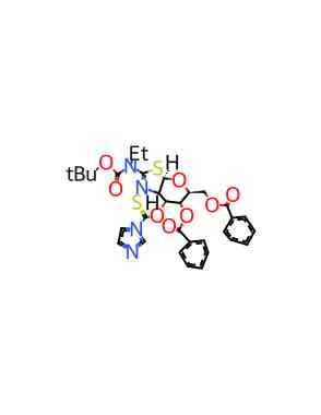 CCN(C(=O)OC(C)(C)C)C1=N[C@@H]2[C@H](OC(=S)n3ccnc3)[C@H](OC(=O)c3ccccc3)[C@H](COC(=O)c3ccccc3)O[C@@H]2S1